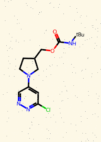 CC(C)(C)NC(=O)OCC1CCN(c2cnnc(Cl)c2)C1